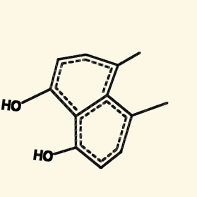 Cc1ccc(O)c2c(O)ccc(C)c12